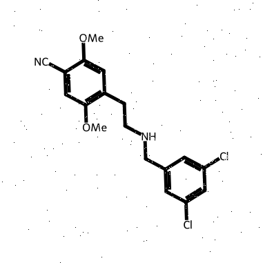 COc1cc(CCNCc2cc(Cl)cc(Cl)c2)c(OC)cc1C#N